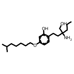 CCCC(N)(CO)CCc1ccc(OCCCCCC(C)C)cc1O